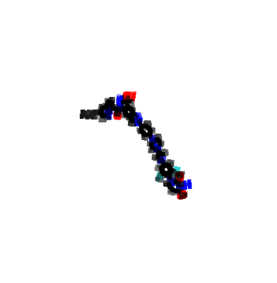 CC(C)(O)c1cc2nn(C3CCC(N4CCN(C5CN(c6cc(F)c(N7CCC(=O)NC7=O)c(F)c6)C5)CC4)CC3)cc2cc1NC(=O)c1ccc2cc(C#N)cnn12